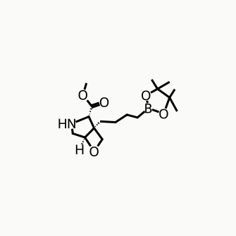 COC(=O)[C@H]1NC[C@@H]2OC[C@@]21CCCCB1OC(C)(C)C(C)(C)O1